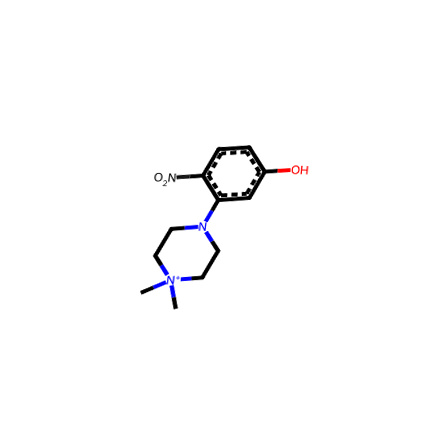 C[N+]1(C)CCN(c2cc(O)ccc2[N+](=O)[O-])CC1